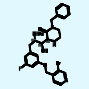 CC(=O)N[C@@H](Cc1cc(F)cc(OCc2ccncc2Br)c1)[C@H](O)[C@@H]1NCCN(Cc2ccccc2)C1=O